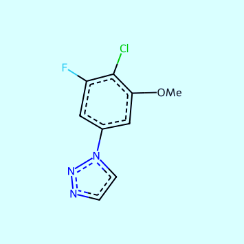 COc1cc(-n2ccnn2)cc(F)c1Cl